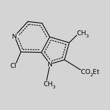 CCOC(=O)c1c(C)c2ccnc(Cl)c2n1C